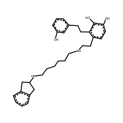 Oc1cccc(CCc2c(CCNCCCCCCNC3Cc4ccccc4C3)ccc(O)c2O)c1